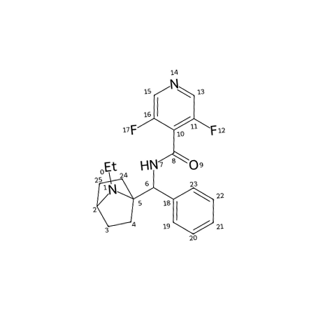 CCN1C2CCC1(C(NC(=O)c1c(F)cncc1F)c1ccccc1)CC2